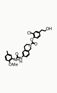 COc1ccc(C)cc1NC(=O)Nc1ccc2c(c1)CCN(C(=O)Oc1ccc(CCO)cc1Cl)C2